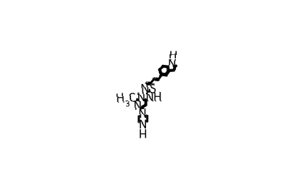 Cc1nc(Nc2ncc(C=Cc3ccc4[nH]ccc4c3)s2)cc(N2CCNCC2)n1